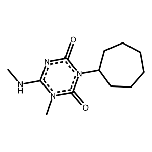 CNc1nc(=O)n(C2CCCCCC2)c(=O)n1C